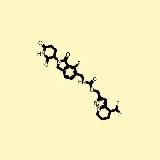 O=C1CCC(N2Cc3ccc(CNC(=O)OCc4cc5n(n4)CCCC5C(F)F)c(F)c3C2=O)C(=O)N1